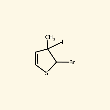 CC1(I)C=CSC1Br